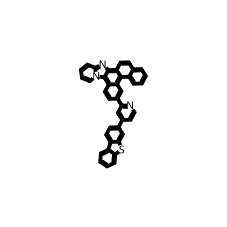 c1ccc2c(c1)ccc1c3nc4ccccn4c3c3ccc(-c4cc(-c5ccc6c(c5)sc5ccccc56)ccn4)cc3c21